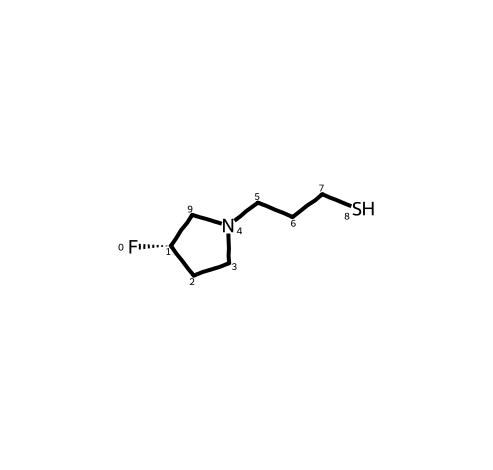 F[C@H]1CCN(CCCS)C1